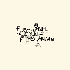 CN[C@@H](CC1CC1)C(=O)N1C[C@@]2(C[C@H]1C(N)=O)Oc1cc(F)cc(F)c1NC2=O